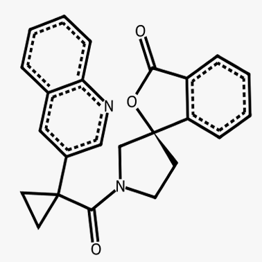 O=C1O[C@]2(CCN(C(=O)C3(c4cnc5ccccc5c4)CC3)C2)c2ccccc21